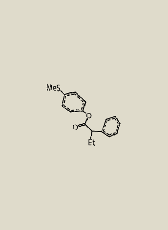 CCC(C(=O)Oc1ccc(SC)cc1)c1ccccc1